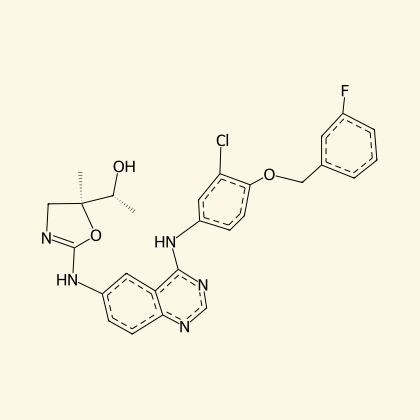 C[C@@H](O)[C@]1(C)CN=C(Nc2ccc3ncnc(Nc4ccc(OCc5cccc(F)c5)c(Cl)c4)c3c2)O1